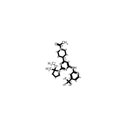 COC1(C)CCCN1c1nc(Nc2cc(C(F)(F)F)ccn2)cc(C2CCN(C(C)=O)CC2)n1